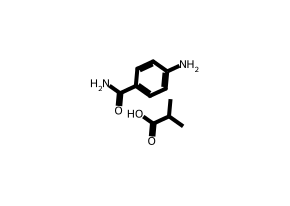 CC(C)C(=O)O.NC(=O)c1ccc(N)cc1